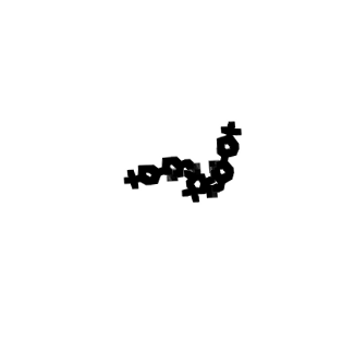 CC1(C)CC(C)(/N=C\c2ccc(-c3ccc(C(C)(C)C)cc3)nc2)CC(C)(/N=C\c2ccc(-c3ccc(C(C)(C)C)cc3)nc2)C1